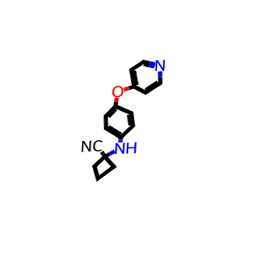 N#CC1(Nc2ccc(Oc3ccncc3)cc2)CCC1